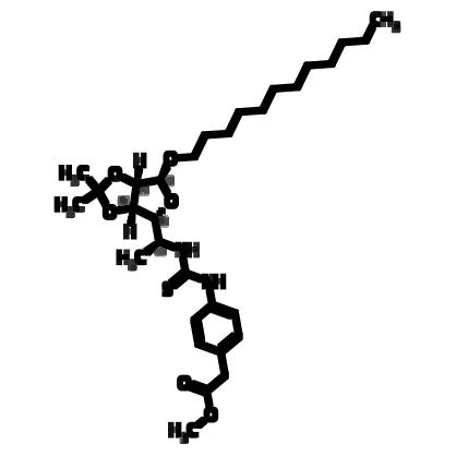 CCCCCCCCCCCCO[C@H]1O[C@H]([C@H](C)NC(=S)Nc2ccc(CC(=O)OC)cc2)[C@@H]2OC(C)(C)O[C@H]12